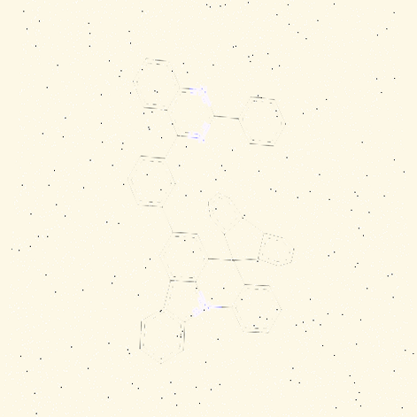 c1ccc(-c2nc(-c3cccc(-c4cc5c6c(c4)c4ccccc4n6-c4ccccc4C54c5ccccc5-c5ccccc54)c3)c3ccccc3n2)cc1